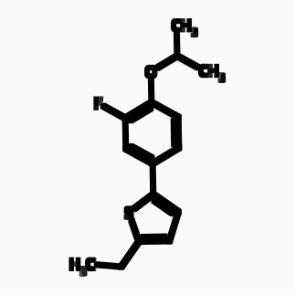 CCc1ccc(-c2ccc(OC(C)C)c(F)c2)s1